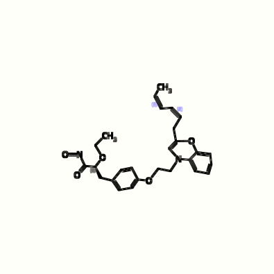 C/C=C\C=C/CC1=CN(CCOc2ccc(C[C@H](OCC)C(=O)N=O)cc2)c2ccccc2O1